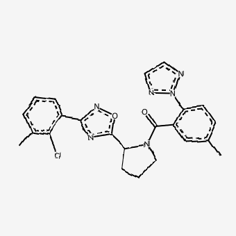 Cc1ccc(-n2nccn2)c(C(=O)N2CCCC2c2nc(-c3cccc(C)c3Cl)no2)c1